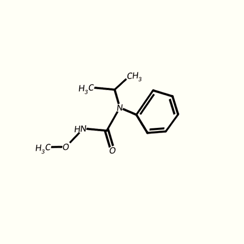 CONC(=O)N(c1ccccc1)C(C)C